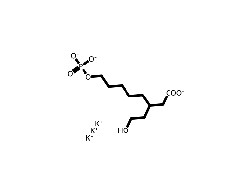 O=C([O-])CC(CCO)CCCCCOP(=O)([O-])[O-].[K+].[K+].[K+]